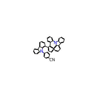 N#Cc1ccc(-n2c3ccccc3c3cccc(-c4ccccc4-c4ccccc4-n4c5ccccc5c5ccccc54)c32)cc1